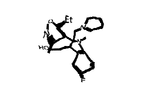 CCc1onc(C)c1C1(CN2CCCC2)C(CO)c2cc(F)ccc2N1C